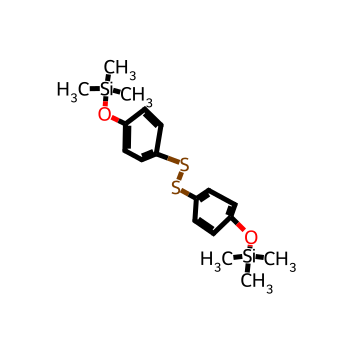 C[Si](C)(C)Oc1ccc(SSc2ccc(O[Si](C)(C)C)cc2)cc1